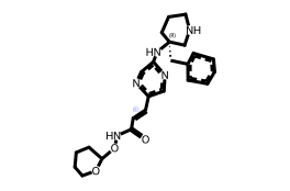 O=C(/C=C/c1cnc(N[C@@]2(Cc3ccccc3)CCCNC2)cn1)NOC1CCCCO1